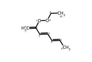 C=C(C=CC=CC)OOCC